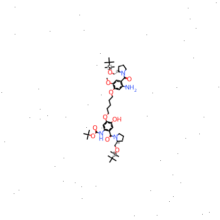 COc1cc(C(=O)N2CCC[C@H]2CO[Si](C)(C)C(C)(C)C)c(N)cc1OCCCCCOc1cc(NC(=O)OC(C)(C)C)c(C(=O)N2CCC[C@H]2CO[Si](C)(C)C(C)(C)C)cc1O